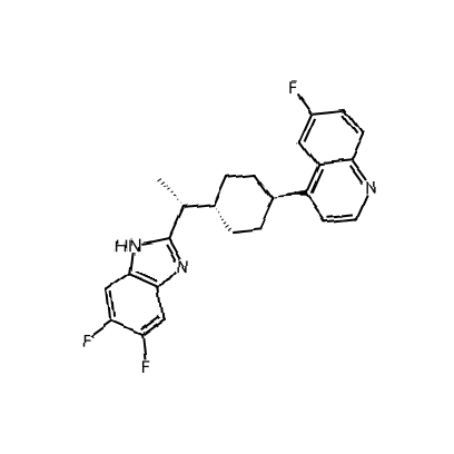 C[C@@H](c1nc2cc(F)c(F)cc2[nH]1)[C@H]1CC[C@H](c2ccnc3ccc(F)cc32)CC1